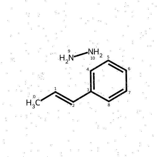 CC=Cc1ccccc1.NN